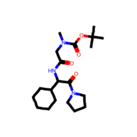 CN(CC(=O)NC(C(=O)N1CCCC1)C1CCCCC1)C(=O)OC(C)(C)C